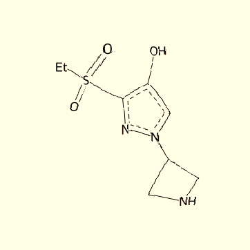 CCS(=O)(=O)c1nn(C2CNC2)cc1O